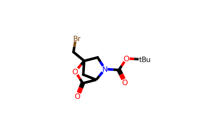 CC(C)(C)OC(=O)N1CC2(CBr)CC1C(=O)O2